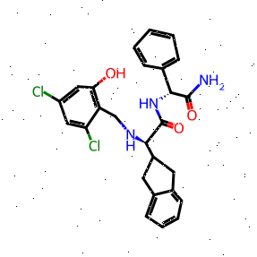 NC(=O)[C@H](NC(=O)[C@H](NCc1c(O)cc(Cl)cc1Cl)C1Cc2ccccc2C1)c1ccccc1